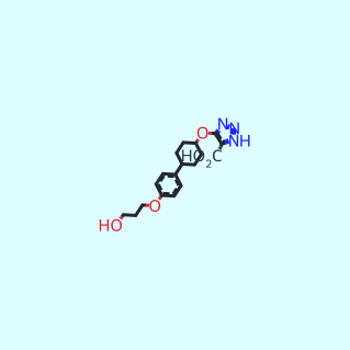 O=C(O)c1[nH]nnc1OC1CCC(c2ccc(OCCCO)cc2)CC1